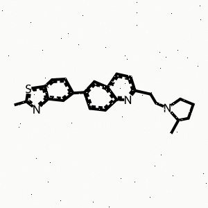 Cc1nc2cc(-c3ccc4nc(CCN5CCCC5C)ccc4c3)ccc2s1